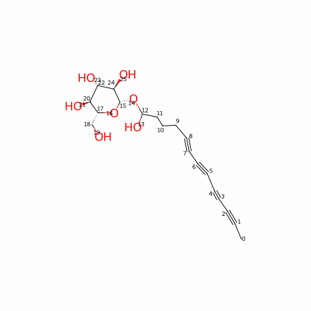 CC#CC#CC#CC#CCCCC(O)O[C@@H]1O[C@H](CO)[C@@H](O)[C@H](O)[C@H]1O